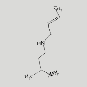 CC=CCNCCC(C)N